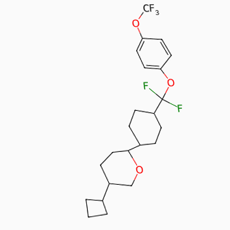 FC(F)(F)Oc1ccc(OC(F)(F)C2CCC(C3CCC(C4CCC4)CO3)CC2)cc1